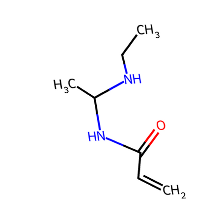 C=CC(=O)NC(C)NCC